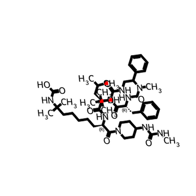 CNC(=O)NC1CCN(C(=O)[C@@H](CCCCCC(C)(C)NC(=O)O)NC(=O)[C@@H](CC(C)C)NC(=O)[C@@H](Cc2ccccc2)NC(=O)N(C)C(CNC(=O)OC(C)(C)C)c2ccccc2)CC1